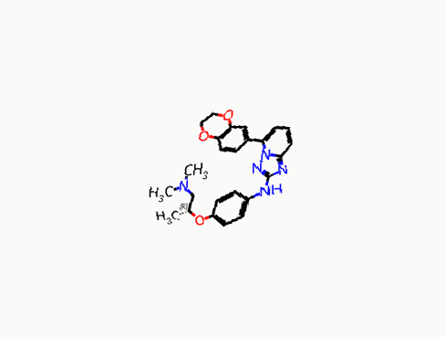 C[C@H](CN(C)C)Oc1ccc(Nc2nc3cccc(-c4ccc5c(c4)OCCO5)n3n2)cc1